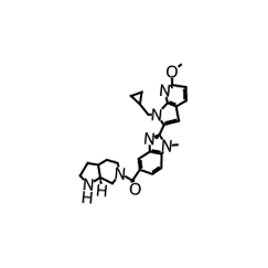 COc1ccc2cc(-c3nc4cc(C(=O)N5CCC6CCN[C@H]6C5)ccc4n3C)n(CC3CC3)c2n1